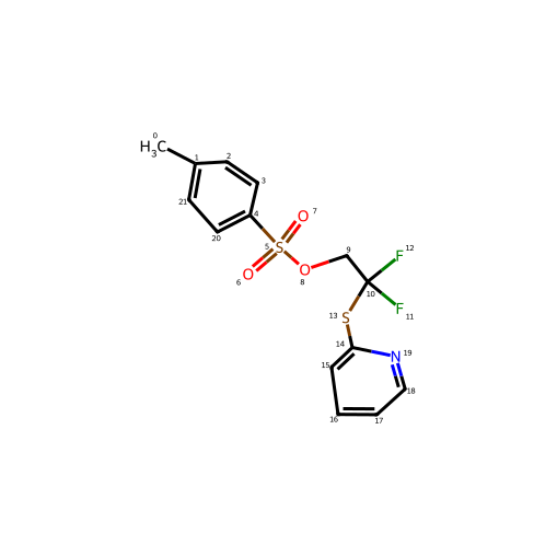 Cc1ccc(S(=O)(=O)OCC(F)(F)Sc2ccccn2)cc1